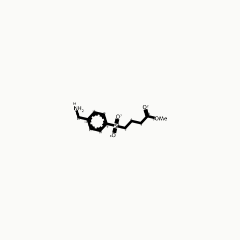 COC(=O)CCCS(=O)(=O)c1ccc(CN)cc1